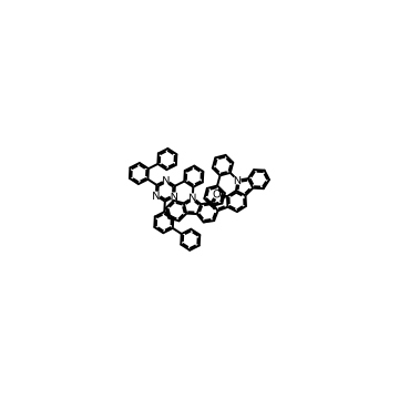 c1ccc(-c2cccc(-c3nc(-c4ccccc4-c4ccccc4)nc(-c4ccccc4-n4c5ccccc5c5ccc6c7ccc8c9ccccc9n(-c9ccccc9-c9ccccc9)c8c7oc6c54)n3)c2)cc1